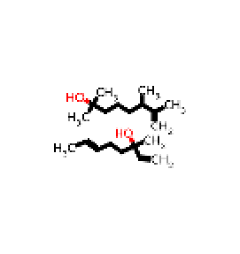 C=C(C)C(C)CCCC(C)(C)O.C=CC(C)(O)CCC=CC